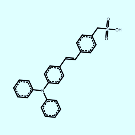 O=S(=O)(O)Cc1ccc(C=Cc2ccc(N(c3ccccc3)c3ccccc3)cc2)cc1